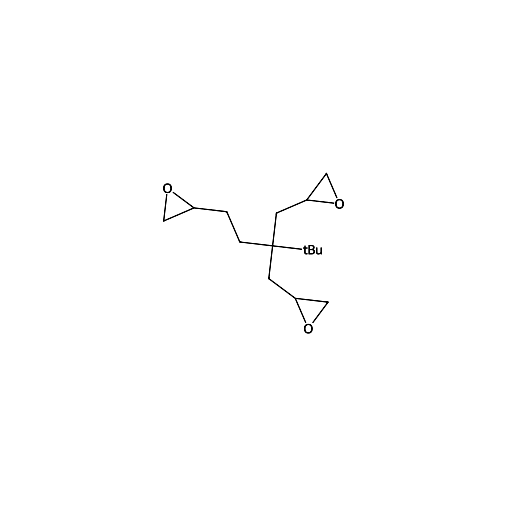 CC(C)(C)C(CCC1CO1)(CC1CO1)CC1CO1